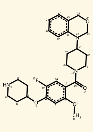 COc1cc(OC2CCNCC2)c(F)cc1C(=O)N1CCC(N2COCc3ccccc32)CC1